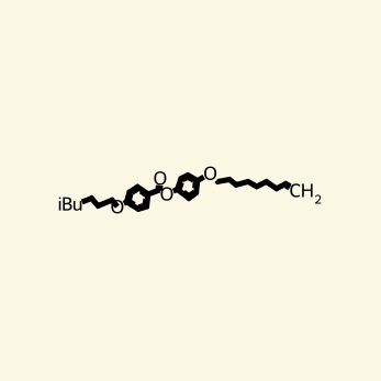 C=CCCCCCCCOc1ccc(OC(=O)c2ccc(OCCCC(C)CC)cc2)cc1